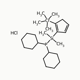 C[Si](C)(C1=[C]([Cr]([CH3])([CH3])([CH3])[CH3])CC=C1)P(C1CCCCC1)C1CCCCC1.Cl